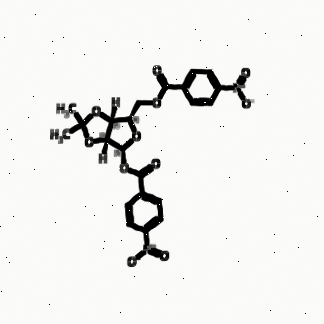 CC1(C)O[C@H]2[C@H](OC(=O)c3ccc([N+](=O)[O-])cc3)O[C@H](COC(=O)c3ccc([N+](=O)[O-])cc3)[C@H]2O1